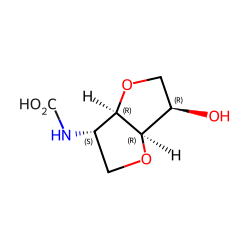 O=C(O)N[C@H]1CO[C@H]2[C@@H]1OC[C@H]2O